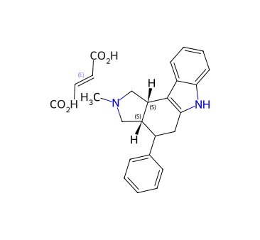 CN1C[C@@H]2c3c([nH]c4ccccc34)CC(c3ccccc3)[C@@H]2C1.O=C(O)/C=C/C(=O)O